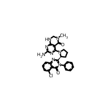 CN1CNc2nc(N)nc(N3CCC[C@H]3c3nc4cccc(Cl)c4c(=O)n3-c3ccccc3)c2C1=O